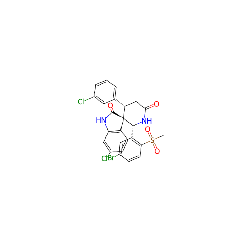 CS(=O)(=O)c1ccc(Br)cc1[C@H]1NC(=O)C[C@@H](c2cccc(Cl)c2)[C@]12C(=O)Nc1cc(Cl)ccc12